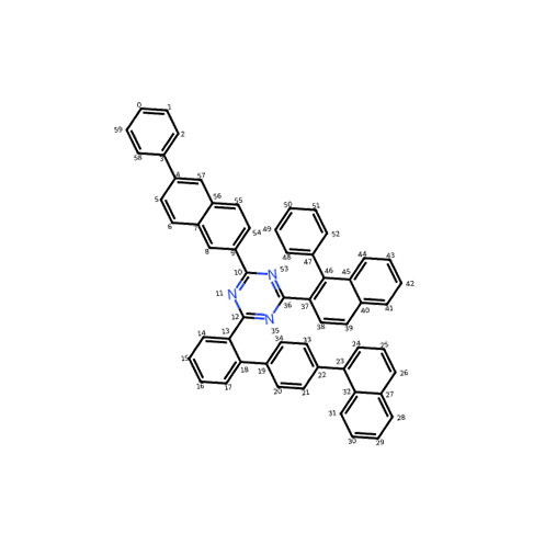 c1ccc(-c2ccc3cc(-c4nc(-c5ccccc5-c5ccc(-c6cccc7ccccc67)cc5)nc(-c5ccc6ccccc6c5-c5ccccc5)n4)ccc3c2)cc1